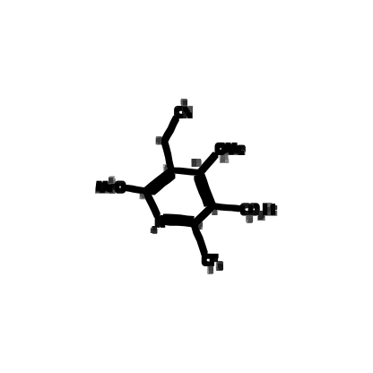 CCOC(=O)c1c(C(F)(F)F)nc(OC)c(CC#N)c1OC